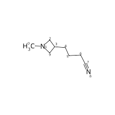 CN1CC(CCCC#N)C1